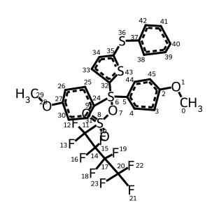 COc1ccc(S(OS(=O)(=O)C(F)(F)C(F)(F)C(F)(F)C(F)(F)F)(c2ccc(OC)cc2)c2ccc(Sc3ccccc3)s2)cc1